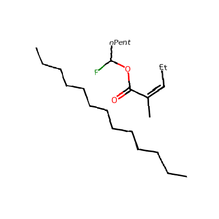 CCC=C(C)C(=O)OC(F)CCCCC.CCCCCCCCCCCCC